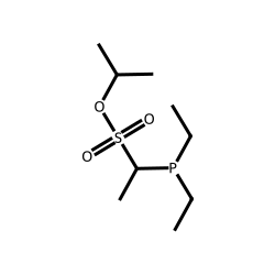 CCP(CC)C(C)S(=O)(=O)OC(C)C